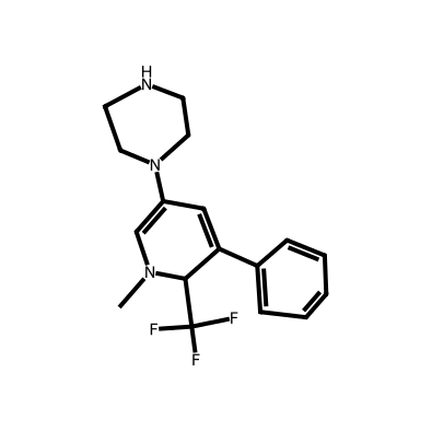 CN1C=C(N2CCNCC2)C=C(c2ccccc2)C1C(F)(F)F